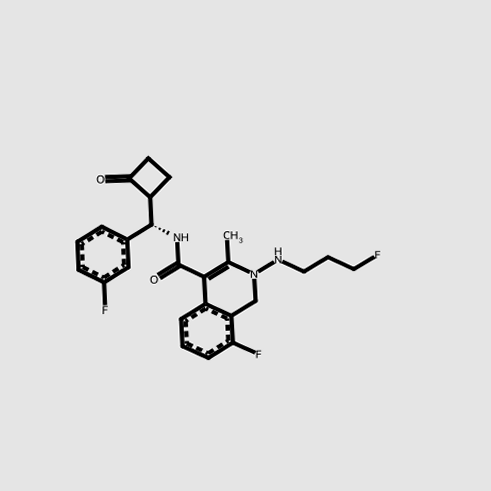 CC1=C(C(=O)N[C@H](c2cccc(F)c2)C2CCC2=O)c2cccc(F)c2CN1NCCCF